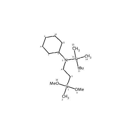 CO[Si](C)(CCN(C1CCCCC1)[Si](C)(C)C(C)(C)C)OC